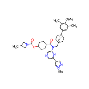 COc1c(C)cc(C23CCC(CN(c4cncc(-c5cnn(C(C)(C)C)c5)n4)C(=O)[C@H]4CC[C@H](OC(=O)N5CC(C)C5)CC4)(CC2)CC3)cc1C